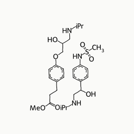 CC(C)NCC(O)c1ccc(NS(C)(=O)=O)cc1.COC(=O)CCc1ccc(OCC(O)CNC(C)C)cc1